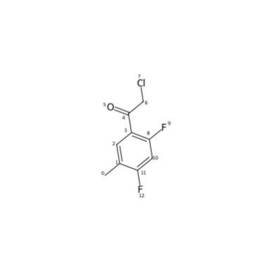 Cc1cc(C(=O)CCl)c(F)cc1F